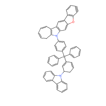 c1ccc2c(c#1)oc1cc3c(cc12)c1c(n3-c2ccc([Si](C3=CC(n4c5ccccc5c5ccccc54)CC=C3)(c3ccccc3)c3ccccc3)cc2)CC=CC=C1